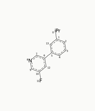 CC(C)c1cccc(-c2cncc(F)c2)c1